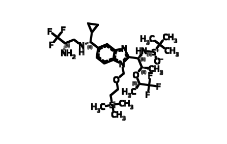 C[C@@H](O[C@H](C)C(F)(F)F)[C@H](N[S@+]([O-])C(C)(C)C)c1nc2cc([C@H](NC[C@H](N)C(F)(F)F)C3CC3)ccc2n1COCC[Si](C)(C)C